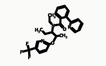 CCC(C(C)Oc1ccc(C(F)(F)F)cn1)N(CC)C(=O)c1ccccc1-c1ccccn1